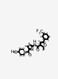 Cc1oc(-c2cccc(C(F)(F)F)c2)cc1C(=O)Nc1nc(C(=O)N2CCC(O)CC2)cs1